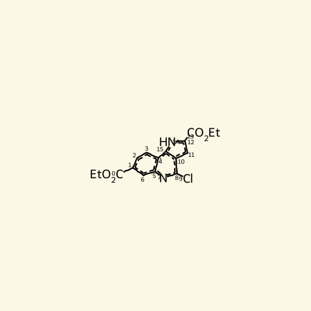 CCOC(=O)c1ccc2c(c1)nc(Cl)c1cc(C(=O)OCC)[nH]c12